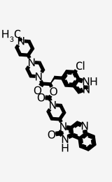 CN1CCC(N2CCN(C(=O)[C@@H](Cc3cc(Cl)c4[nH]ncc4c3)OC(=O)N3CCC(n4c(=O)[nH]c5c6ccccc6ncc54)CC3)CC2)CC1